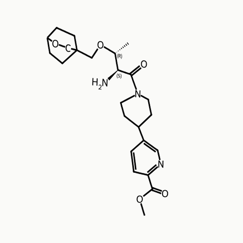 COC(=O)c1ccc(C2CCN(C(=O)[C@@H](N)[C@@H](C)OCC34CCC(CC3)OC4)CC2)cn1